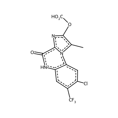 Cc1c(OC(=O)O)nc2c(=O)[nH]c3cc(C(F)(F)F)c(Cl)cc3n12